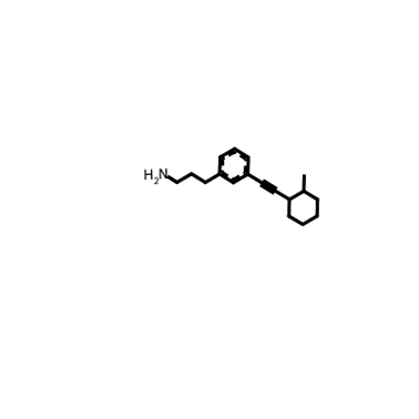 CC1CCCCC1C#Cc1cccc(CCCN)c1